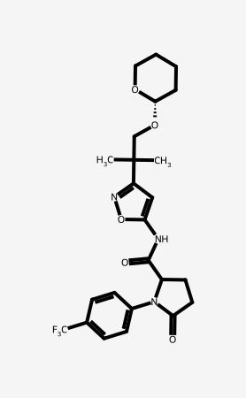 CC(C)(CO[C@H]1CCCCO1)c1cc(NC(=O)C2CCC(=O)N2c2ccc(C(F)(F)F)cc2)on1